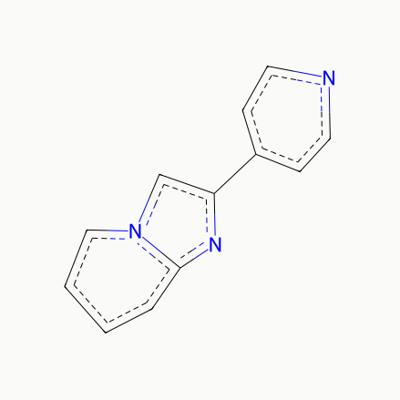 c1ccn2cc(-c3ccncc3)nc2c1